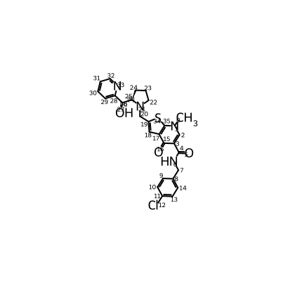 Cn1cc(C(=O)NCc2ccc(Cl)cc2)c(=O)c2cc(CN3CCC[C@@H]3[C@@H](O)c3ccccn3)sc21